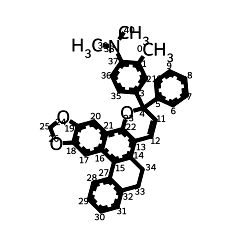 Cc1cc(C2(c3ccccc3)C=Cc3c4c(c5cc6c(cc5c3O2)OCO6)-c2ccccc2CC4)ccc1N(C)C